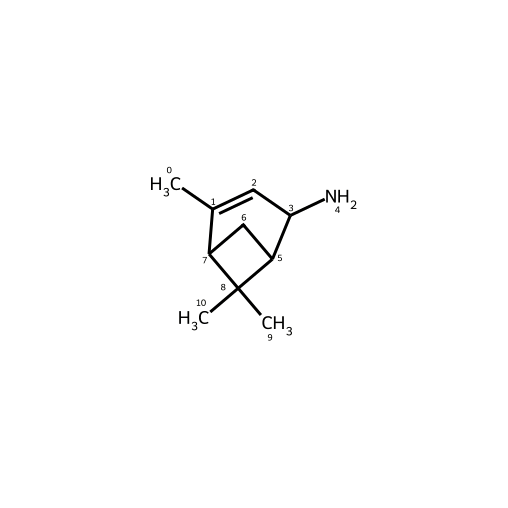 CC1=CC(N)C2CC1C2(C)C